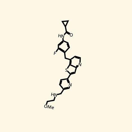 COCCNCc1ccc(-c2cc3nccc(Cc4ccc(NC(=O)C5CC5)cc4F)c3s2)nc1